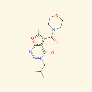 Cc1oc2ncn(CC(C)C)c(=O)c2c1C(=O)N1CCOCC1